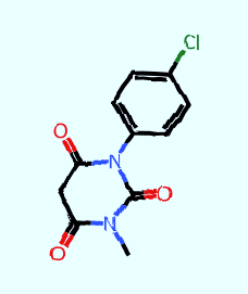 CN1C(=O)CC(=O)N(c2ccc(Cl)cc2)C1=O